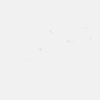 CC(C)(C)OC(=O)C1CCC(=O)N1C(=O)CNC(=O)OCc1ccccc1